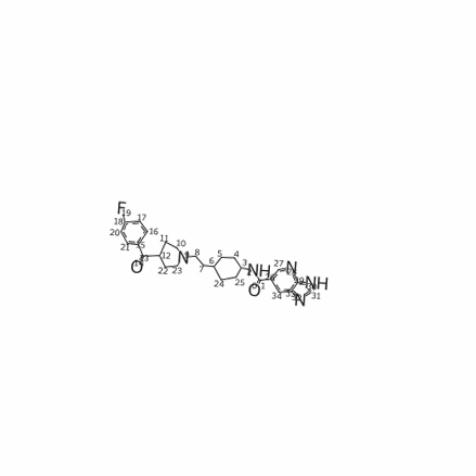 O=C(NC1CCC(CCN2CCC(C(=O)c3ccc(F)cc3)CC2)CC1)c1cnc2[nH]cnc2c1